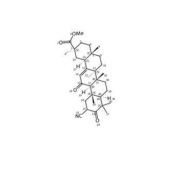 COC(=O)[C@@]1(C)CC[C@]2(C)CC[C@]3(C)C(=CC(=O)[C@@H]4[C@@]5(C)CC(C#N)C(=O)C(C)(C)[C@@H]5CC[C@]43C)[C@H]2C1